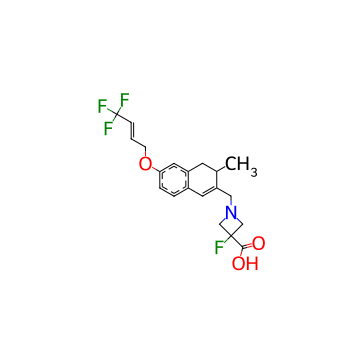 CC1Cc2cc(OC/C=C/C(F)(F)F)ccc2C=C1CN1CC(F)(C(=O)O)C1